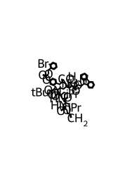 C=CCOC(=O)NC(CC(C)C)C(=O)NC(CC(C)C)C(=O)N(CCC(CNC(=O)OCC1c2ccccc2-c2ccccc21)NC(Cc1ccc(OC(=O)OCc2ccccc2Br)cc1)C(=O)O)CC(=O)OC(C)(C)C